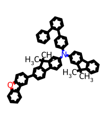 CC1(C)c2ccccc2-c2ccc(N(c3ccc(-c4ccccc4-c4ccccc4)cc3)c3ccc4c(c3)C(C)(C)c3cc(-c5ccc6oc7ccccc7c6c5)ccc3-4)cc21